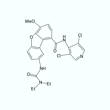 CCN(CC)C(=O)Nc1ccc2oc3c(OC)ccc(C(=O)Nc4c(Cl)cncc4Cl)c3c2c1